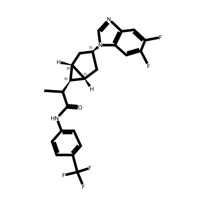 CC(C(=O)Nc1ccc(C(F)(F)F)cc1)[C@H]1[C@@H]2C[C@@H](n3cnc4cc(F)c(F)cc43)C[C@@H]21